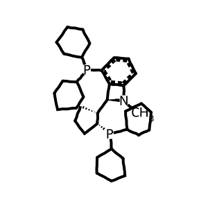 CN1c2cccc(P(C3CCCCC3)C3CCCCC3)c2[C@@H]1[C@H]1CCC[C@H]1P(C1CCCCC1)C1CCCCC1